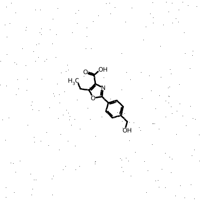 CCc1oc(-c2ccc(CO)cc2)nc1C(=O)O